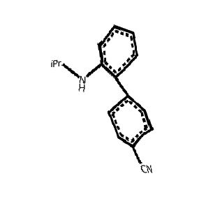 CC(C)Nc1ccccc1-c1ccc(C#N)cc1